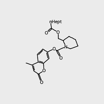 CCCCCCCC(=O)OCC1CCCCN1C(=O)Oc1ccc2c(C)cc(=O)oc2c1